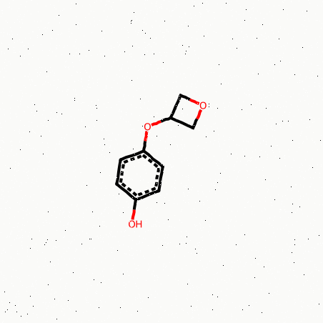 Oc1ccc(OC2COC2)cc1